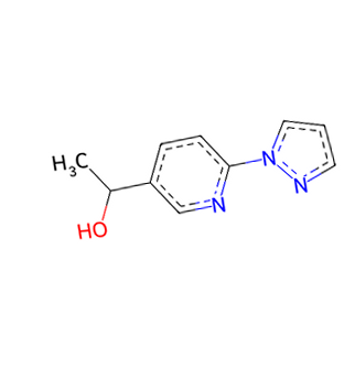 CC(O)c1ccc(-n2cccn2)nc1